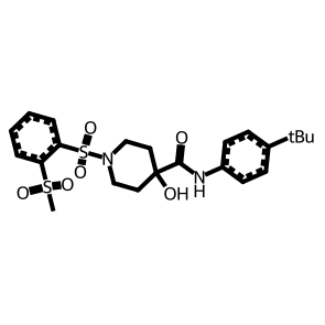 CC(C)(C)c1ccc(NC(=O)C2(O)CCN(S(=O)(=O)c3ccccc3S(C)(=O)=O)CC2)cc1